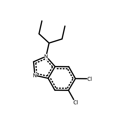 CCC(CC)n1cnc2cc(Cl)c(Cl)cc21